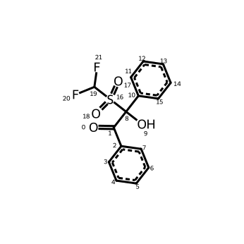 O=C(c1ccccc1)C(O)(c1ccccc1)S(=O)(=O)C(F)F